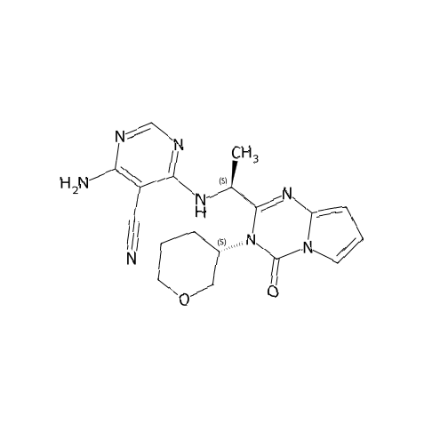 C[C@H](Nc1ncnc(N)c1C#N)c1nc2cccn2c(=O)n1[C@H]1CCCOC1